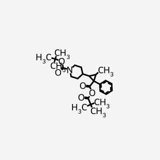 CC1C(C2CCN(C(=O)OC(C)(C)C)CC2)C1(C(=O)OC(=O)C(C)(C)C)c1ccccc1